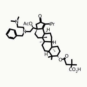 CC(=O)O[C@H](CN(CCN(C)C)Cc1ccccc1)[C@@]12CC[C@]3(C)[C@H](CC[C@@H]4[C@@]5(C)CC[C@H](OC(=O)CC(C)(C)C(=O)O)C(C)(C)[C@@H]5CC[C@]43C)C1=C(C(C)C)C(=O)C2